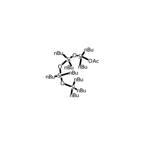 CCCC[Si](CCCC)(CCCC)O[Si](CCCC)(CCCC)O[Si](CCCC)(CCCC)O[Si](CCCC)(CCCC)OC(C)=O